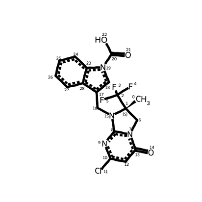 C[C@@]1(C(F)(F)F)Cn2c(nc(Cl)cc2=O)N1Cc1cn(C(=O)O)c2ccccc12